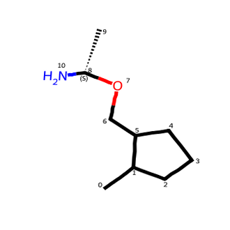 CC1CCCC1CO[C@@H](C)N